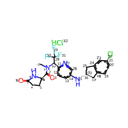 CN(C(=O)[C@H]1CCC(=O)N1)C(c1ccc(N[C@H]2Cc3ccc(Cl)cc3C2)cn1)C(F)(F)F.Cl